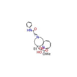 CCC12CCCN(/C=C/C(=O)Nc3ccccc3)CCc3ccccccn(c3C1O)C(O)(C(=O)OC)C2